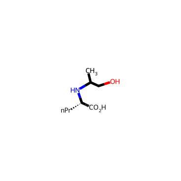 CCC[C@H](NC(C)CO)C(=O)O